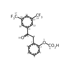 O=C(O)Oc1ccccc1CC(=O)c1cc(C(F)(F)F)cc(C(F)(F)F)c1